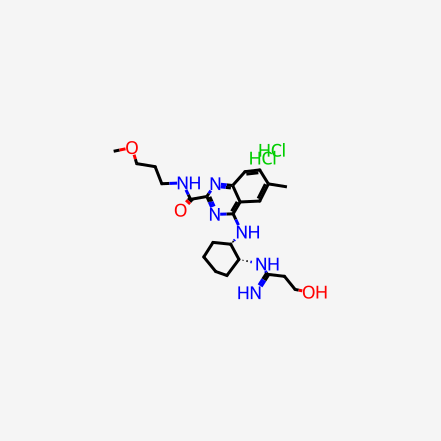 COCCCNC(=O)c1nc(N[C@H]2CCCC[C@H]2NC(=N)CCO)c2cc(C)ccc2n1.Cl.Cl